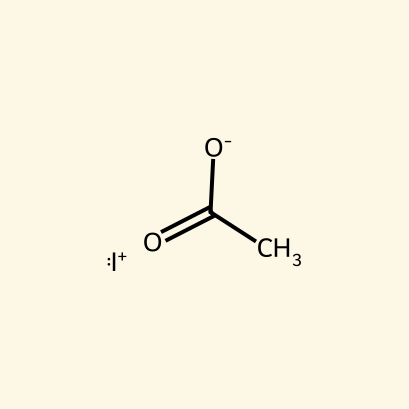 CC(=O)[O-].[I+]